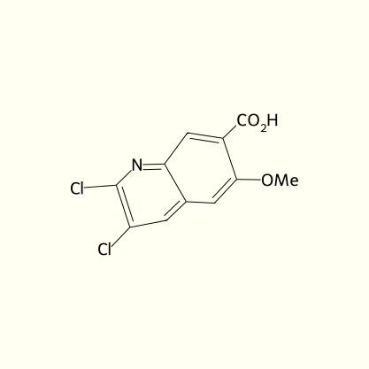 COc1cc2cc(Cl)c(Cl)nc2cc1C(=O)O